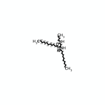 CCCCCCCCCCCC(=O)NC(CCNCCCC)NC(=O)CCCCCCCCCCC